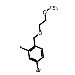 CCCCOCCOCc1ccc(Br)cc1F